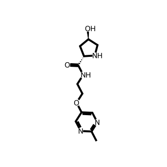 Cc1ncc(OCCNC(=O)[C@@H]2C[C@@H](O)CN2)cn1